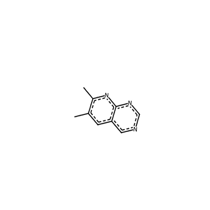 Cc1cc2cncnc2nc1C